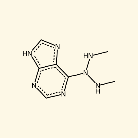 CNN(NC)c1ncnc2[nH]cnc12